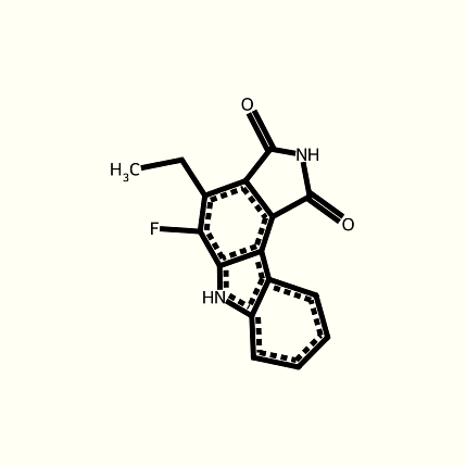 CCc1c2c(c3c([nH]c4ccccc43)c1F)C(=O)NC2=O